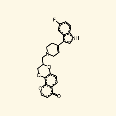 O=c1ccoc2c3c(ccc12)OC(CN1CC=C(c2c[nH]c4ccc(F)cc24)CC1)CO3